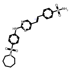 NS(=O)(=O)c1ccc(/C=C/c2cnc(Nc3ccc(S(=O)(=O)N4CCCCCC4)cc3)nc2)cc1